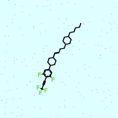 CCCCCC1CCC(CC/C=C/C2CCC(c3cc(F)c(C#CC(F)(F)F)c(F)c3)CC2)CC1